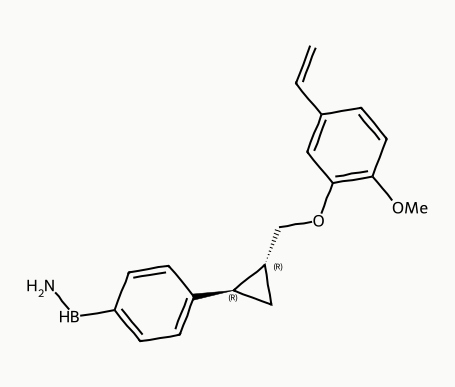 C=Cc1ccc(OC)c(OC[C@@H]2C[C@H]2c2ccc(BN)cc2)c1